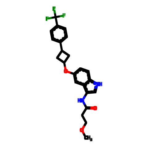 COCCC(=O)Nc1c[nH]c2ccc(OC3CC(c4ccc(C(F)(F)F)cc4)C3)cc12